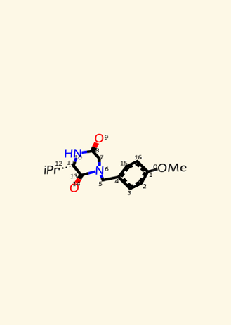 COc1ccc(CN2CC(=O)N[C@@H](C(C)C)C2=O)cc1